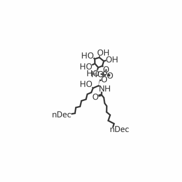 CCCCCCCCCCCCCCCCCC(=O)N[C@@H](COP(=O)(O)OC1C(O)C(O)C(O)[C@@H](O)C1O)[C@H](O)CCCCCCCCCCCCCCCCC